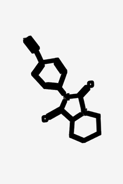 [C]#Cc1ccc(N2C(=O)C3CCCCN3C2=O)cc1